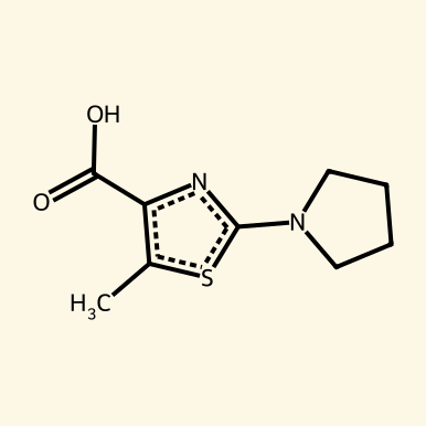 Cc1sc(N2CCCC2)nc1C(=O)O